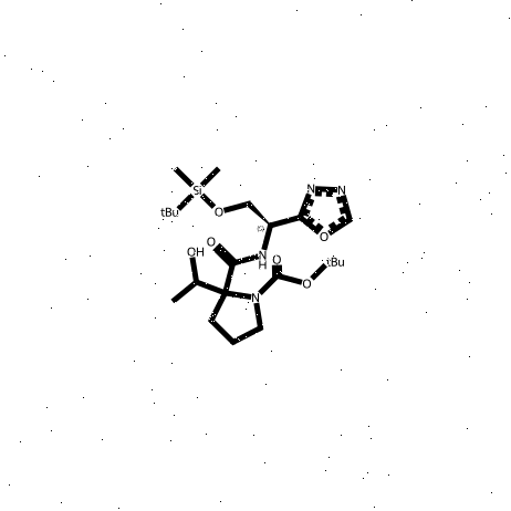 CC(O)C1(C(=O)N[C@@H](CO[Si](C)(C)C(C)(C)C)c2nnco2)CCCN1C(=O)OC(C)(C)C